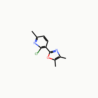 Cc1ccc(-c2nc(C)c(C)o2)c(Cl)n1